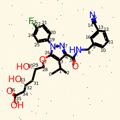 CC(C)c1c(C(=O)NCc2cccc(C#N)c2)nn(-c2ccc(F)cc2)c1OC[C@@H](O)C[C@@H](O)CC(=O)O